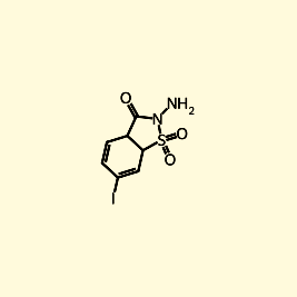 NN1C(=O)C2C=CC(I)=CC2S1(=O)=O